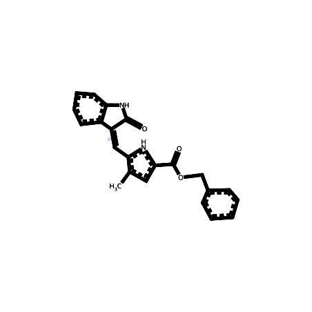 Cc1cc(C(=O)OCc2ccccc2)[nH]c1/C=C1\C(=O)Nc2ccccc21